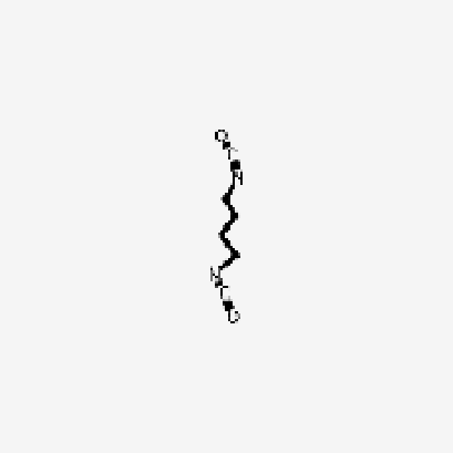 O=C=N[CH]CCCN=C=O